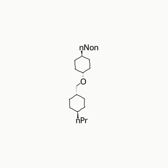 CCCCCCCCC[C@H]1CC[C@H](OC[C@H]2CC[C@H](CCC)CC2)CC1